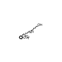 CC(C)(C)OC(=O)N(CCCNCCCCCCO)Cc1ccccc1